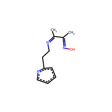 CC(=NO)C(C)=NCCc1ccccn1